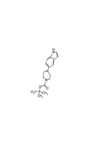 CC(C)(C)OC(=O)N1CCN(c2ccc3[nH]ccc3c2)CC1